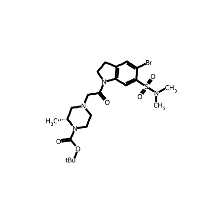 C[C@@H]1CN(CC(=O)N2CCc3cc(Br)c(S(=O)(=O)N(C)C)cc32)CCN1C(=O)OC(C)(C)C